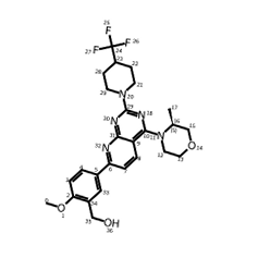 COc1ccc(-c2ccc3c(N4CCOC[C@@H]4C)nc(N4CCC(C(F)(F)F)CC4)nc3n2)cc1CO